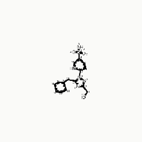 NS(=O)(=O)c1ccc(-n2nc(CO)nc2Cc2ccccc2)nc1